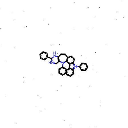 C1=Cc2ccc3c(c2N(c2ccccc2)C2=C1NC(c1ccccc1)NC2)c1ccccc1n3-c1ccccc1